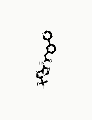 O=C(Cc1cccc(-c2cccnc2)c1)Nc1ncn2c(C(F)(F)F)csc12